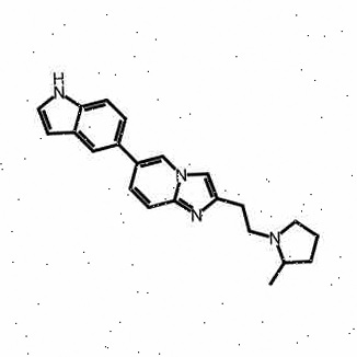 CC1CCCN1CCc1cn2cc(-c3ccc4[nH]ccc4c3)ccc2n1